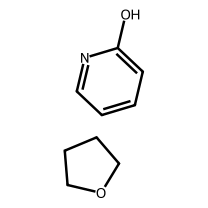 C1CCOC1.Oc1ccccn1